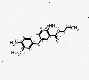 C=CCOC(=O)c1cc(Cc2ccc(N)c(C(=O)O)c2)ccc1N